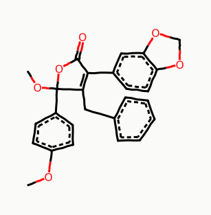 COc1ccc(C2(OC)OC(=O)C(c3ccc4c(c3)OCO4)=C2Cc2ccccc2)cc1